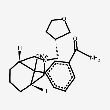 COC1(c2cccc(C(N)=O)c2)[C@@H]2CCC[C@H]1CN(C[C@@H]1CCOC1)C2